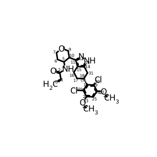 C=CC(=O)NC1CCOCC1c1n[nH]c2c1CC[C@H](c1c(Cl)c(OC)cc(OC)c1Cl)C2